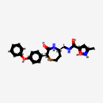 Cc1cc(C(=O)NC[C@@H]2CCS[C@H](c3ccc(Oc4ccccc4)cc3)C(=O)N2)on1